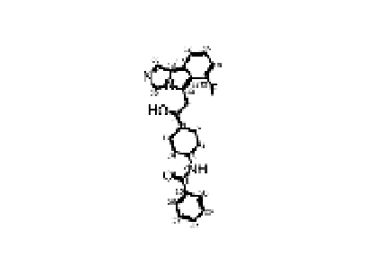 O=C(NC1CCC(C(O)Cc2c3c(F)cccc3c3n2CN=C3)CC1)c1ccccc1